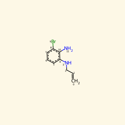 C=CCNc1cccc(Br)c1N